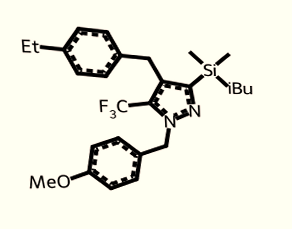 CCc1ccc(Cc2c([Si](C)(C)C(C)CC)nn(Cc3ccc(OC)cc3)c2C(F)(F)F)cc1